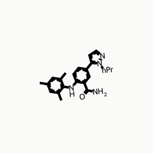 CCCn1nccc1-c1ccc(Nc2c(C)cc(C)cc2C)c(C(N)=O)c1